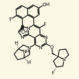 C#Cc1c(F)ccc2cc(O)cc(-c3c(F)c4nc(OC[C@@]56CCCN5C[C@H](F)C6)nc(N5C[C@H]6CC[C@@H](C5)N6)c4c4nccn34)c12